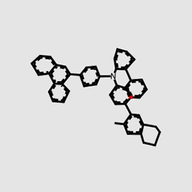 Cc1cc2c(cc1-c1ccc(N(c3ccc(-c4cc5ccccc5c5ccccc45)cc3)c3ccccc3-c3ccccc3)cc1)CCCC2